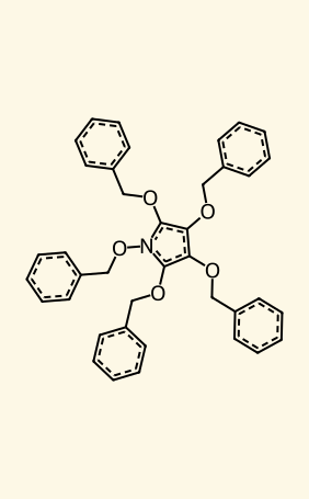 c1ccc(COc2c(OCc3ccccc3)c(OCc3ccccc3)n(OCc3ccccc3)c2OCc2ccccc2)cc1